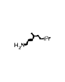 CC(C)CCC(C)C=CCN